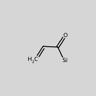 C=CC(=O)[Si]